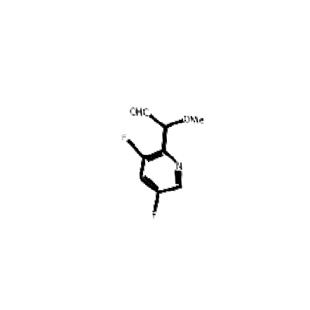 COC(C=O)c1ncc(F)cc1F